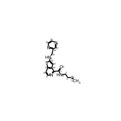 COCCNC(=O)c1nccc2sc(NCc3cnccn3)cc12